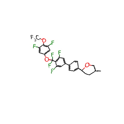 CC1CCC(c2ccc(-c3cc(F)c(C(F)(F)Oc4cc(F)c(OC(F)(F)F)c(F)c4)c(F)c3)cc2)OC1